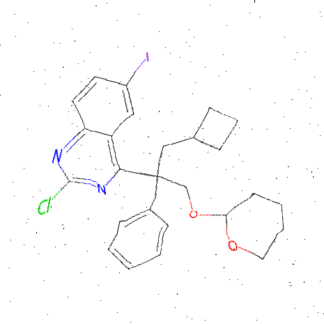 Clc1nc(C(COC2CCCCO2)(CC2CCC2)c2ccccc2)c2cc(I)ccc2n1